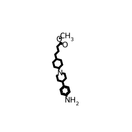 COC(=O)CCCC1CCC(N2CCC(c3ccc(N)cc3)CC2)CC1